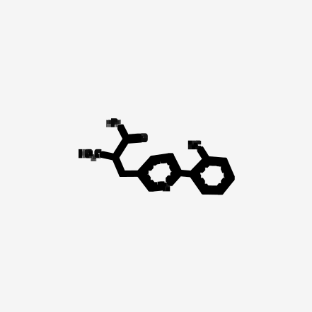 CCCC(=O)C(Cc1ccc(-c2ccccc2C#N)nc1)C(=O)O